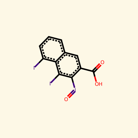 O=Ic1c(C(=O)O)cc2cccc(I)c2c1I